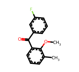 COc1c(C)cccc1C(=O)c1cccc(F)c1